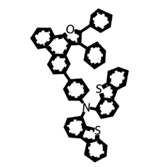 c1ccc(-c2oc3c4ccccc4c4ccc(-c5ccc(N(c6cccc7c6sc6ccccc67)c6cccc7c6sc6ccccc67)cc5)cc4c3c2-c2ccccc2)cc1